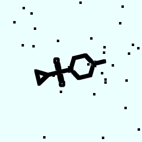 CN1CCN(S(=O)(=O)C2CC2)CC1